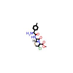 COC(=O)C1=C(Cl)CS[C@H]2C(NC(=O)C(N)c3ccc(C)cc3)C(=O)N12